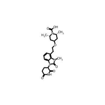 C[C@@H]1CC(OCCc2cccc3c2n(C)c(=O)n3C2CCC(=O)NC2=O)C[C@H](C)N1C(=O)O